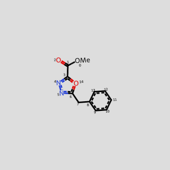 COC(=O)c1nnc(Cc2ccccc2)o1